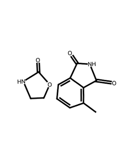 Cc1cccc2c1C(=O)NC2=O.O=C1NCCO1